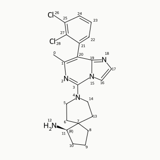 Cc1nc(N2CCC3(CCC[C@H]3N)CC2)n2ccnc2c1-c1cccc(Cl)c1Cl